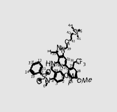 COc1ccc(N(C)S(=O)(=O)c2ccccc2)c(CNc2nc(-c3cc(F)c(OC)cc3CC(F)(F)F)cc3c2c(I)nn3COCC[Si](C)(C)C)c1